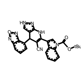 CC(C)(C)OC(=O)n1cc(C2=C(C#N)C(c3cccc4nonc34)c3c[nH]nc3N2)c2ccccc21